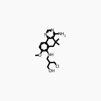 COc1ccc2c(c1NCC(CO)CCl)CC(C)(C)c1c(N)ncnc1-2